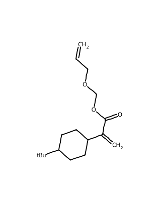 C=CCOCOC(=O)C(=C)C1CCC(C(C)(C)C)CC1